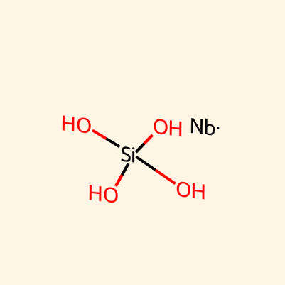 O[Si](O)(O)O.[Nb]